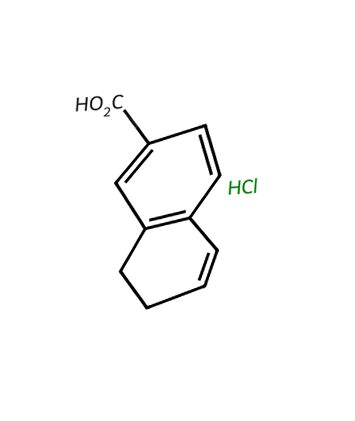 Cl.O=C(O)c1ccc2c(c1)CCC=C2